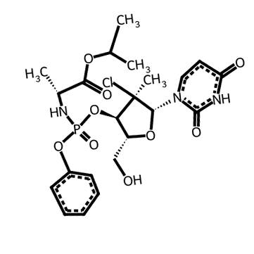 CC(C)OC(=O)[C@@H](C)NP(=O)(Oc1ccccc1)O[C@@H]1[C@@H](CO)O[C@@H](n2ccc(=O)[nH]c2=O)[C@]1(C)Cl